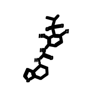 CC(C)S(=O)(=O)c1c(Cl)ccc(NC(=O)N[C@@H]2CCCc3occc32)c1O